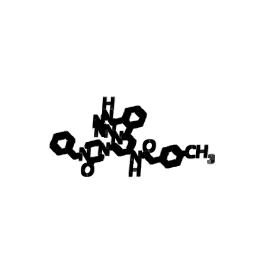 Cc1ccc(CC(=O)Nc2cc(-c3ccccc3-c3nnn[nH]3)nc(N3CCN(Cc4ccccc4)C(=O)C3)c2)cc1